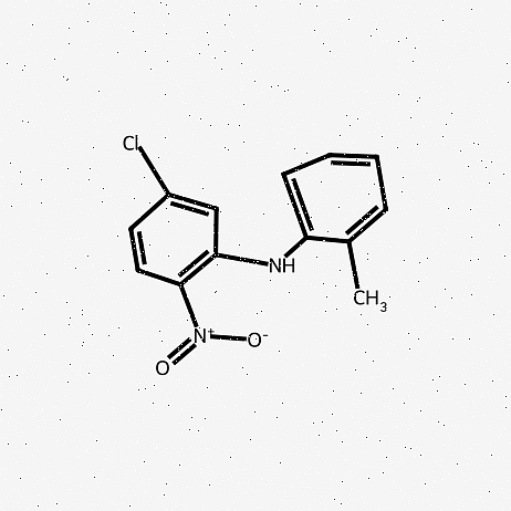 Cc1ccccc1Nc1cc(Cl)ccc1[N+](=O)[O-]